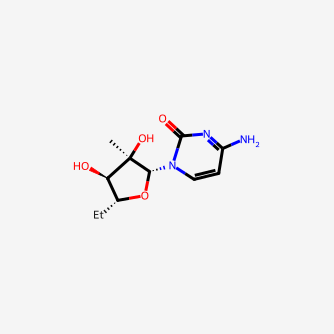 CC[C@H]1O[C@@H](n2ccc(N)nc2=O)[C@](C)(O)[C@@H]1O